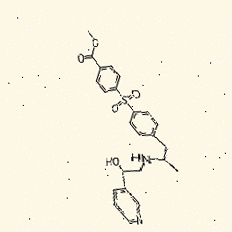 COC(=O)c1ccc(S(=O)(=O)c2ccc(C[C@@H](C)NC[C@H](O)c3cccnc3)cc2)cc1